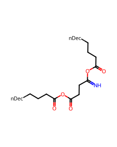 CCCCCCCCCCCCCC(=O)OC(=N)CCC(=O)OC(=O)CCCCCCCCCCCCC